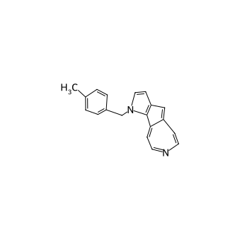 Cc1ccc(Cn2ccc3cc4ccnccc-4c32)cc1